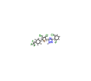 Cn1nc(-c2c(F)cccc2Cl)nc1-c1sc(-c2ccc(C(F)(F)F)cc2)c(Br)c1Cl